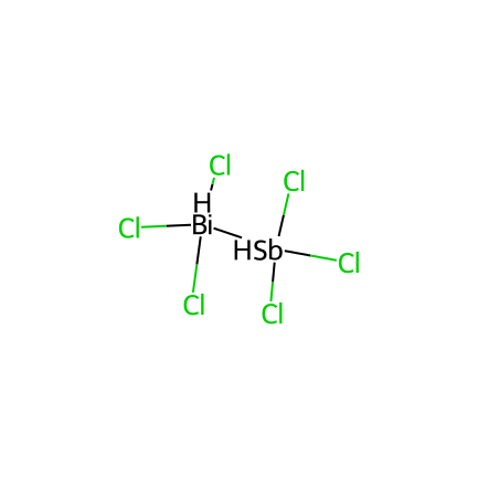 [Cl][SbH]([Cl])([Cl])[BiH]([Cl])([Cl])[Cl]